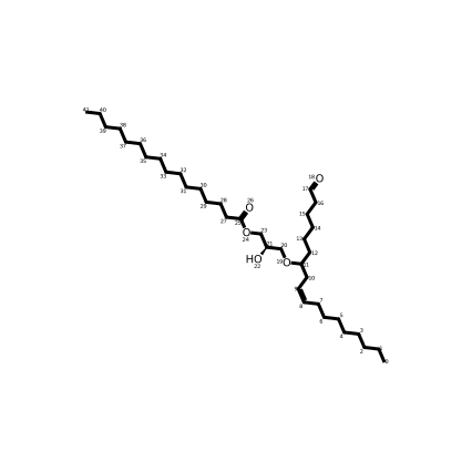 CCCCCCCC/C=C\CC(CCCCCC=O)OC[C@@H](O)COC(=O)CCCCCCCCCCCCCCC